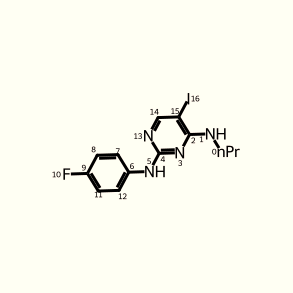 CCCNc1nc(Nc2ccc(F)cc2)ncc1I